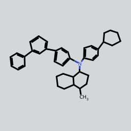 CC1CCC(N(c2ccc(-c3cccc(-c4ccccc4)c3)cc2)c2ccc(C3CCCCC3)cc2)C2CCCCC12